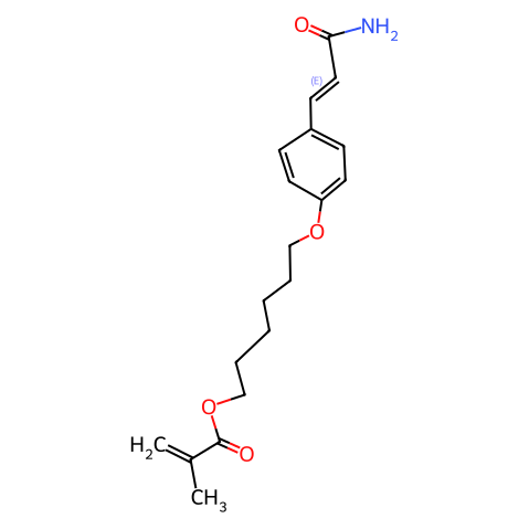 C=C(C)C(=O)OCCCCCCOc1ccc(/C=C/C(N)=O)cc1